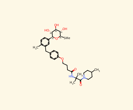 CS[C@H]1O[C@@H](c2ccc(C)c(Cc3ccc(OCCCC(=O)NC(C)(C)C(=O)N4CCC(C)CC4)cc3)c2)[C@H](O)[C@@H](O)[C@@H]1O